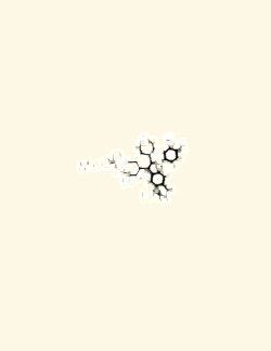 COC(=O)S[SH]1CCC(c2c(C3CCOCC3)n(-c3ccc(F)c(F)c3)c3cc4cn[nH]c4cc23)CC1